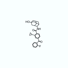 O=C(c1ccc(C(=O)NC2C3CC4CC2CC(O)(C4)C3)c(C2CC2)c1)c1ccccc1F